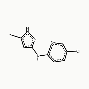 Cc1cc(Nc2ccc(Cl)cn2)n[nH]1